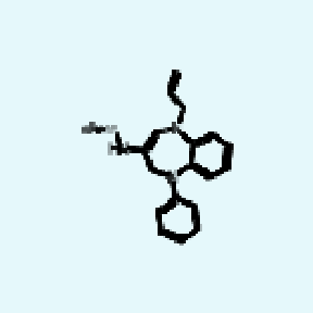 C=CCN1C=C(NCCCCC)CN(c2ccccc2)c2ccccc21